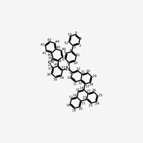 c1ccc(-c2ccc(N(c3ccc4c(-c5cc6ccccc6c6ccccc56)cccc4c3)c3cccc4sc5c6ccccc6ccc5c34)cc2)cc1